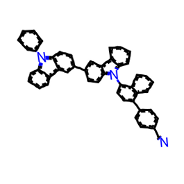 N#Cc1ccc(-c2ccc(-n3c4ccccc4c4cc(-c5ccc6c(c5)c5ccccc5n6-c5ccccc5)ccc43)c3ccccc23)cc1